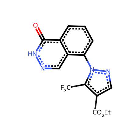 CCOC(=O)c1cnn(-c2cccc3c(=O)[nH]ncc23)c1C(F)(F)F